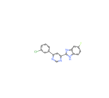 Fc1ccc2[nH]c(-c3cc(-c4cccc(Cl)c4)ncn3)nc2c1